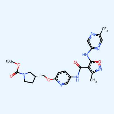 Cc1noc(Nc2cnc(C(F)(F)F)cn2)c1C(=O)Nc1ccc(OC[C@@H]2CCN(C(=O)OC(C)(C)C)C2)nc1